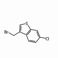 Clc1ccc2c(CBr)csc2c1